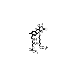 Cc1cc2nc3c(=O)[nH]c(=O)nc-3n(CCCCCCC(=O)O)c2cc1CNCC(O)COC(=O)C(F)(F)F